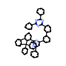 c1ccc(-c2cc(-c3cccc(-c4cccc(-c5nc(-c6ccccc6)nc(-c6ccccc6)n5)c4)c3)nc(-c3cccc4c3C(c3ccccc3)(c3ccccc3)c3ccccc3-4)n2)cc1